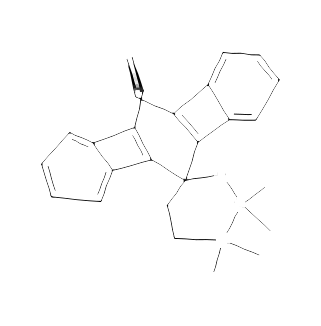 C=CC1=C(C2(C3=C(C=C)c4ccccc43)CC[Si](C)(C)[Si](C)(C)O2)c2ccccc21